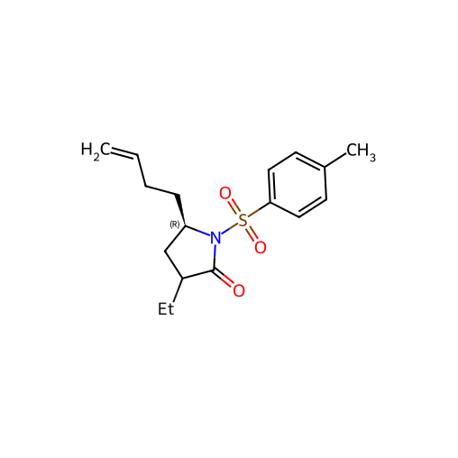 C=CCC[C@@H]1CC(CC)C(=O)N1S(=O)(=O)c1ccc(C)cc1